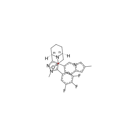 Cc1cc2ccc(C(=O)N3[C@H]4CCC[C@@H]3c3nn(C)c(-c5cc(F)c(F)c(F)c5)c3C4)cn2c1